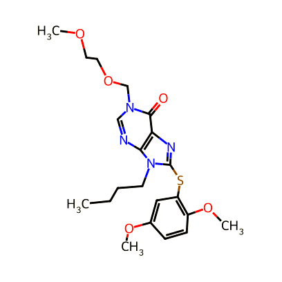 CCCCn1c(Sc2cc(OC)ccc2OC)nc2c(=O)n(COCCOC)cnc21